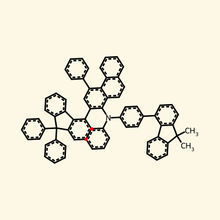 CC1(C)c2ccccc2-c2c(-c3ccc(N(c4ccccc4)c4c(-c5cccc6c5-c5ccccc5C6(c5ccccc5)c5ccccc5)cc(-c5ccccc5)c5c4ccc4ccccc45)cc3)cccc21